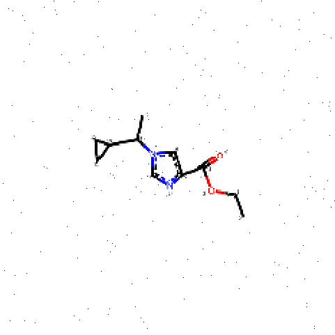 CCOC(=O)c1cn(C(C)C2CC2)cn1